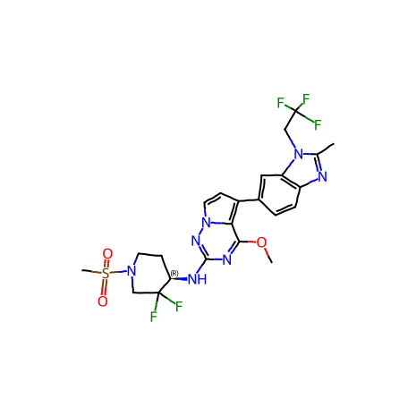 COc1nc(N[C@@H]2CCN(S(C)(=O)=O)CC2(F)F)nn2ccc(-c3ccc4nc(C)n(CC(F)(F)F)c4c3)c12